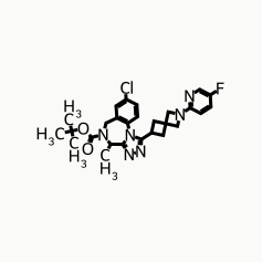 CC1c2nnc(C3CC4(C3)CN(c3ccc(F)cn3)C4)n2-c2ccc(Cl)cc2CN1C(=O)OC(C)(C)C